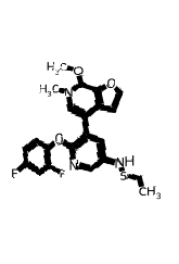 CCSNc1cnc(Oc2ccc(F)cc2F)c(C2=CN(C)C(OC)c3occc32)c1